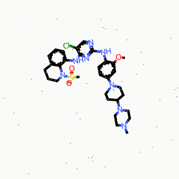 COc1cc(N2CCC(N3CCN(C)CC3)CC2)ccc1Nc1ncc(Cl)c(Nc2cccc3c2N(S(C)(=O)=O)CCC3)n1